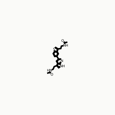 CC(=O)NCCc1c[nH]c2ncc(-c3ccc4scc(CCNC(C)=O)c4c3)cc12